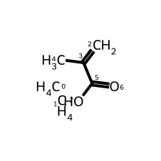 C.C.C=C(C)C(=O)O